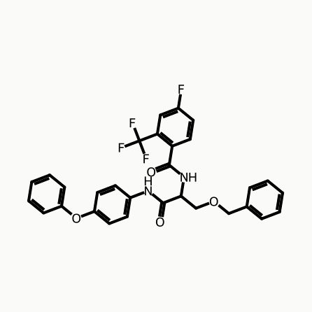 O=C(NC(COCc1ccccc1)C(=O)Nc1ccc(Oc2ccccc2)cc1)c1ccc(F)cc1C(F)(F)F